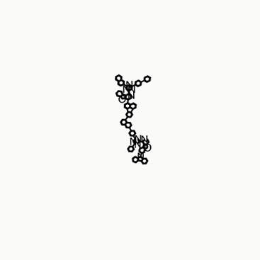 c1ccc(-c2ccc(-c3nc(-c4ccc5ccccc5c4)nc(-c4ncc(-c5ccc6c7c(cccc57)-c5ccc(-c7cccc8cc(-c9ccc(-c%10nc(-c%11ccccc%11)nc(-c%11nccc%12oc%13cc(-n%14c%15ccccc%15c%15ccccc%15%14)ccc%13c%11%12)n%10)cc9)ccc78)cc5-6)c5oc6ccccc6c45)n3)cc2)cc1